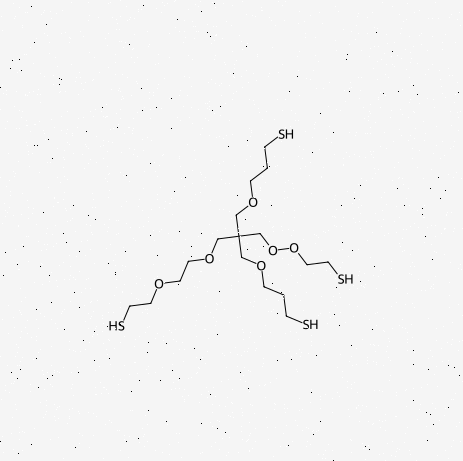 SCCCOCC(COCCCS)(COCCOCCS)COOCCS